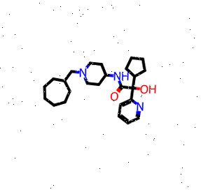 O=C(NC1CCN(CC2CCCCCC2)CC1)C(O)(c1ccccn1)C1CCCC1